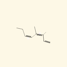 C=C/C(Cl)=C(Cl)\C=C/CC